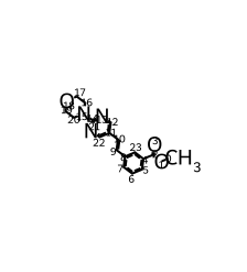 COC(=O)c1cccc(/C=C/c2cnc(N3CCOCC3)nc2)c1